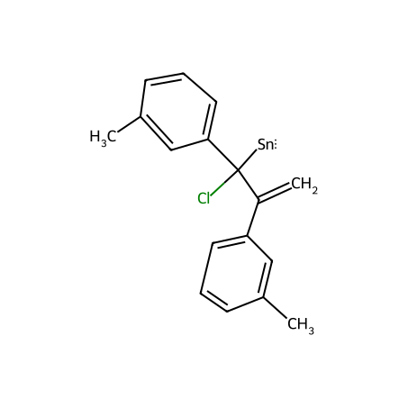 C=C(c1cccc(C)c1)[C](Cl)([Sn])c1cccc(C)c1